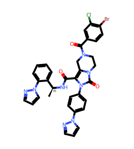 C[C@H](NC(=O)c1c2n(c(=O)n1-c1ccc(-n3cccn3)cc1)CCN(C(=O)c1ccc(Br)c(Cl)c1)C2)c1ccccc1-n1cccn1